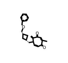 C=C1C(=O)/C=C(/C)C(=O)/C=C\C1C[C@H]1C[C@@H](COCc2ccccc2)C1